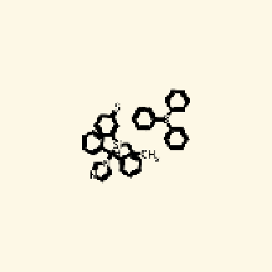 CCC[SiH](C1=CC(=S)CC=C1)C(c1ccccc1)(c1ccccc1)n1ccnc1.c1ccc(B(c2ccccc2)c2ccccc2)cc1